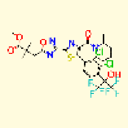 COC(=O)C(C)(C)Cc1nc(-c2nc(C(=O)N3CCCC[C@@H]3C)c(-c3ccc(C(O)(C(F)(F)F)C(F)(F)F)c(Cl)c3Cl)s2)no1